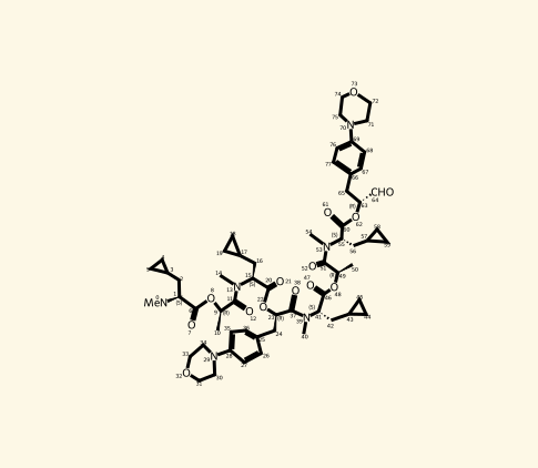 CN[C@@H](CC1CC1)C(=O)O[C@H](C)C(=O)N(C)[C@@H](CC1CC1)C(=O)O[C@H](Cc1ccc(N2CCOCC2)cc1)C(=O)N(C)[C@@H](CC1CC1)C(=O)O[C@H](C)C(=O)N(C)[C@@H](CC1CC1)C(=O)O[C@@H](C=O)Cc1ccc(N2CCOCC2)cc1